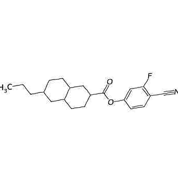 CCCC1CCC2CC(C(=O)Oc3ccc(C#N)c(F)c3)CCC2C1